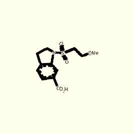 COCCS(=O)(=O)N1CCc2ccc(C(=O)O)cc21